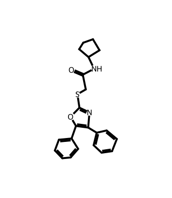 O=C(CSc1nc(-c2ccccc2)c(-c2ccccc2)o1)NC1CCCC1